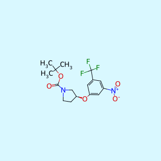 CC(C)(C)OC(=O)N1CC[C@H](Oc2cc([N+](=O)[O-])cc(C(F)(F)F)c2)C1